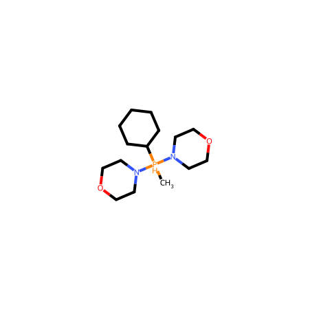 C[PH](C1CCCCC1)(N1CCOCC1)N1CCOCC1